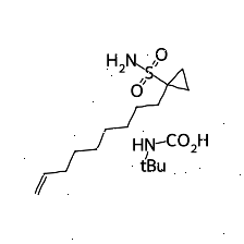 C=CCCCCCCCC1(S(N)(=O)=O)CC1.CC(C)(C)NC(=O)O